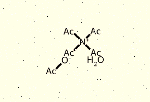 CC(=O)[N+](C(C)=O)(C(C)=O)C(C)=O.CC(=O)[O-].O